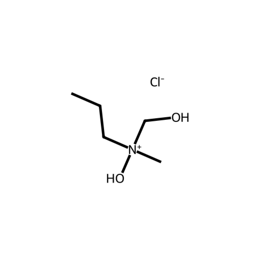 CCC[N+](C)(O)CO.[Cl-]